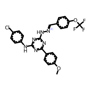 COc1ccc(-c2nc(N/N=C/c3ccc(OC(F)(F)F)cc3)nc(Nc3ccc(Cl)cc3)n2)cc1